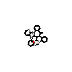 C=C1c2ccccc2N2c3ncccc3N(c3ccccc3)C2C2C1c1ccccc1N1C=NN(C)C21